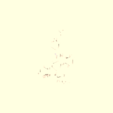 [C-]#[N+]/C(=C\c1cc[n+](CCO)cc1)c1cc(-c2ccccc2)c(C(C#N)C(=O)OC)cc1-c1ccccc1